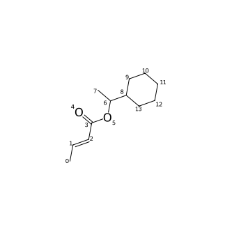 C/C=C/C(=O)OC(C)C1CCCCC1